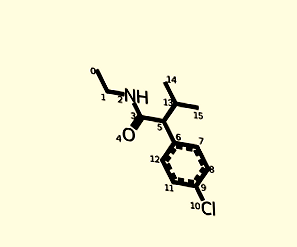 CCNC(=O)C(c1ccc(Cl)cc1)C(C)C